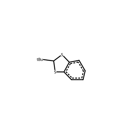 CC(C)(C)C1Sc2ccccc2S1